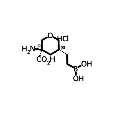 Cl.N[C@@]1(C(=O)O)COC[C@H](CCB(O)O)C1